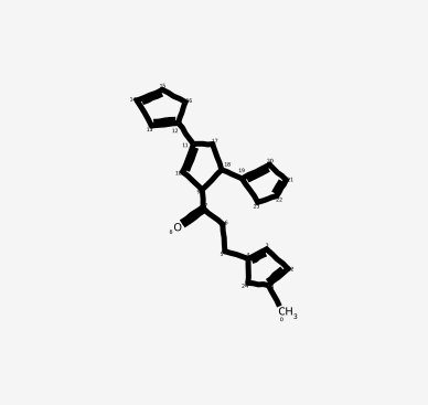 CC1=CC=C(CCC(=O)C2C=C(C3=CC=CC3)CC2C2=CC=CC2)C1